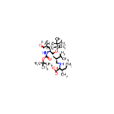 CC[C@H](C)[C@H](NC[C@@H](C[C@@H](O[Si](C)(C)C(C)(C)C)[C@H](CC(C)C=O)NC(=O)OC(C)(C)C)C(C)C)C(=O)O